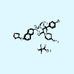 NC1CCN(C(=O)[C@H](N(CC(F)(F)F)S(=O)(=O)c2ccc3cc(OC4CCCC4)ccc3c2)C(F)(F)c2ccc(Br)cc2)CC1.O=C(O)C(F)(F)F